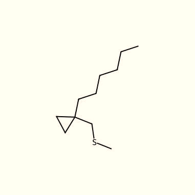 CCCCCCC1(CSC)CC1